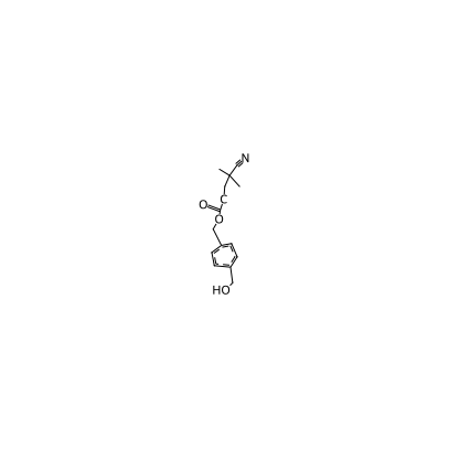 CC(C)(C#N)CCC(=O)OCc1ccc(CO)cc1